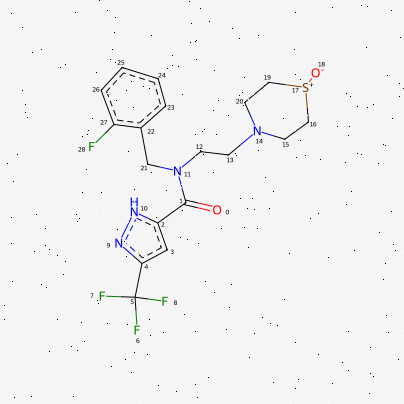 O=C(c1cc(C(F)(F)F)n[nH]1)N(CCN1CC[S+]([O-])CC1)Cc1ccccc1F